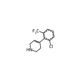 FC(F)(F)c1cccc(Cl)c1C1=CCNCC1